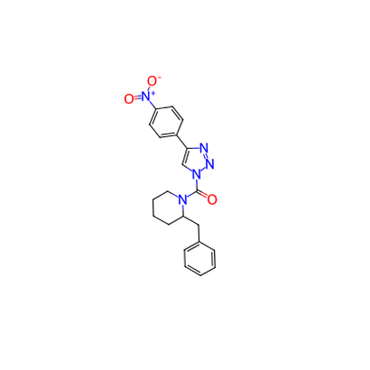 O=C(N1CCCCC1Cc1ccccc1)n1cc(-c2ccc([N+](=O)[O-])cc2)nn1